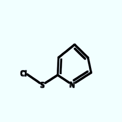 ClSc1ccccn1